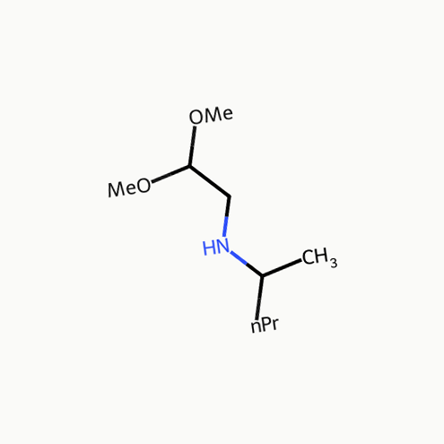 CCCC(C)NCC(OC)OC